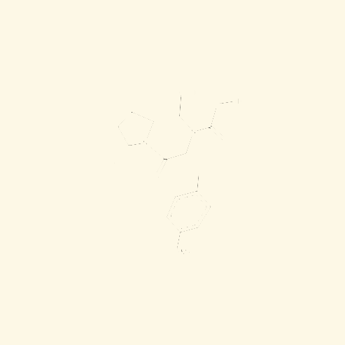 CCOC(=O)CN(C(=O)OC(C)(C)C)[C@H](Cc1ccc(OC)cc1)C(=O)N1CCC[C@H]1C(=O)O